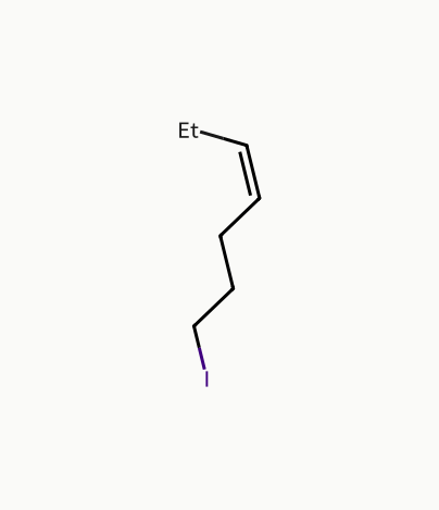 CC/C=C\CCCI